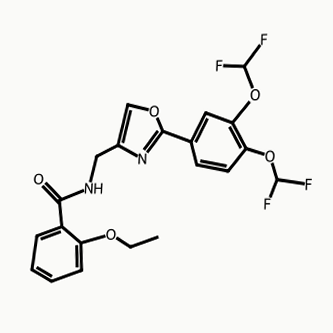 CCOc1ccccc1C(=O)NCc1coc(-c2ccc(OC(F)F)c(OC(F)F)c2)n1